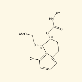 COCO[C@H]1c2c(Cl)cccc2CC[C@H]1OC(=O)NC(C)C